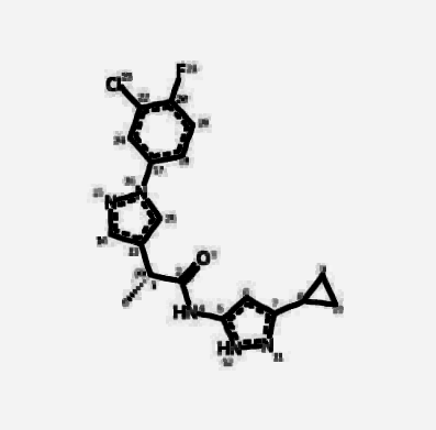 C[C@@H](C(=O)Nc1cc(C2CC2)n[nH]1)c1cnn(-c2ccc(F)c(Cl)c2)c1